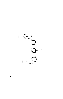 COc1c(OC2CCN(OC(=O)OC(C)C)CC2)ccnc1Nc1ccc(N(C)CCS(C)(=O)=O)nc1C